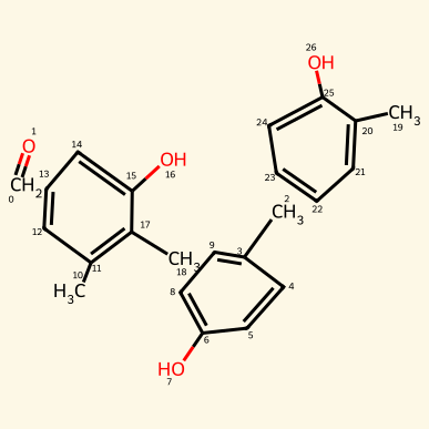 C=O.Cc1ccc(O)cc1.Cc1cccc(O)c1C.Cc1ccccc1O